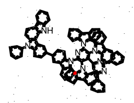 c1ccc(-c2cc(-c3c(-n4c5ccccc5c5ccccc54)c(-n4c5ccccc5c5ccccc54)nc(-n4c5ccccc5c5cc(-c6ccc7c(c6)c6c8[nH]c9ccccc9c8ccc6n7-c6ccccc6)ccc54)c3-n3c4ccccc4c4ccccc43)nc(-c3ccccc3)n2)cc1